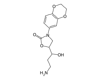 NCCC(O)C1CN(c2ccc3c(c2)OCCO3)C(=O)O1